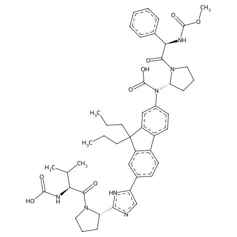 CCCC1(CCC)c2cc(-c3cnc([C@@H]4CCCN4C(=O)[C@@H](NC(=O)O)C(C)C)[nH]3)ccc2-c2ccc(N(C(=O)O)[C@H]3CCCN3C(=O)[C@H](NC(=O)OC)c3ccccc3)cc21